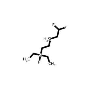 CC[Si](F)(CC)CC[SiH2]CC(F)F